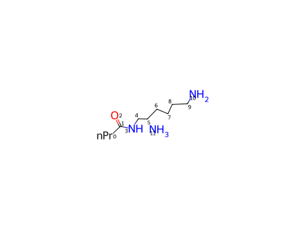 CCCC(=O)NCCCCCCN.N